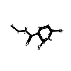 [CH2]CNC(=O)c1ccc(Cl)nc1Cl